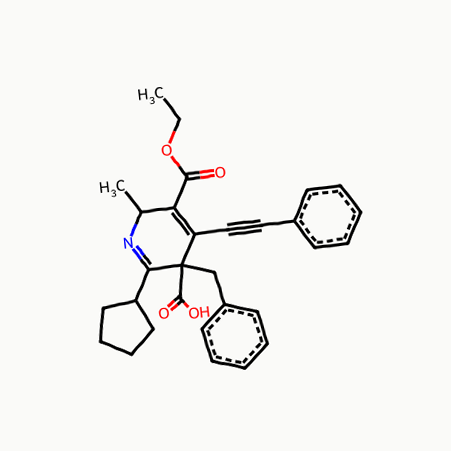 CCOC(=O)C1=C(C#Cc2ccccc2)C(Cc2ccccc2)(C(=O)O)C(C2CCCC2)=NC1C